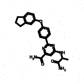 CC(Nc1cc(C(N)=O)nc(-c2ccc(Oc3ccc4c(c3)CCC4)cc2)n1)C(N)=O